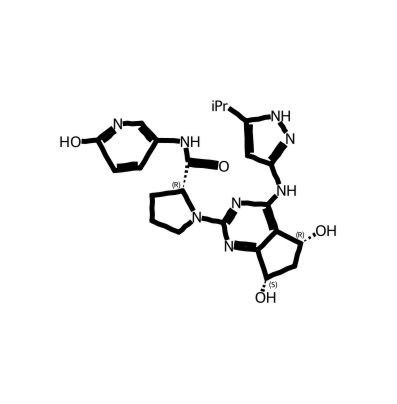 CC(C)c1cc(Nc2nc(N3CCC[C@@H]3C(=O)Nc3ccc(O)nc3)nc3c2[C@H](O)C[C@@H]3O)n[nH]1